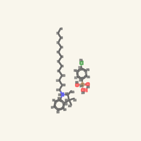 CCCCCCCCCCCCCCN1c2ccccc2C(C)(C)C1C.O=S(=O)(O)c1ccc(Cl)cc1